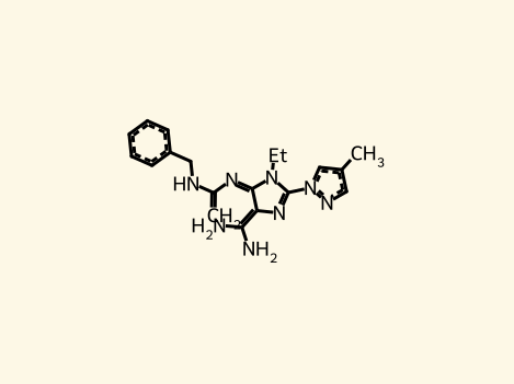 C=C(/N=C1\C(=C(N)N)N=C(n2cc(C)cn2)N1CC)NCc1ccccc1